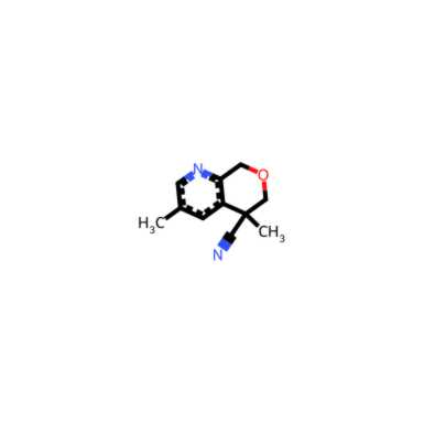 Cc1cnc2c(c1)C(C)(C#N)COC2